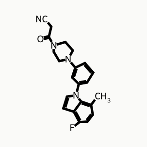 Cc1ccc(F)c2ccn(-c3cccc(N4CCN(C(=O)CC#N)CC4)c3)c12